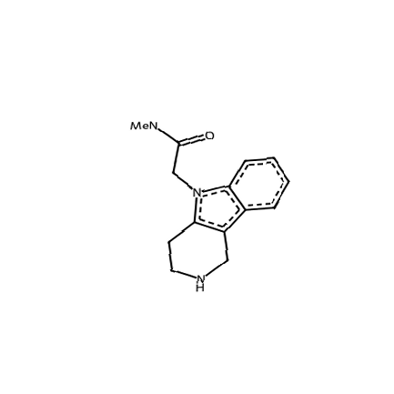 CNC(=O)Cn1c2c(c3ccccc31)CNCC2